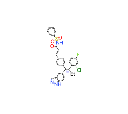 CC/C(=C(/c1ccc(C=CC(=O)NS(=O)(=O)c2ccccc2)cc1)c1ccc2[nH]ncc2c1)c1ccc(F)cc1Cl